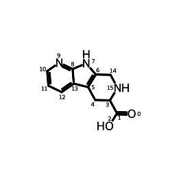 O=C(O)C1Cc2c([nH]c3ncccc23)CN1